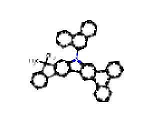 CC1(C)c2ccccc2-c2cc3c4cc5c6ccccc6c6ccccc6c5cc4n(-c4cc5ccccc5c5ccccc45)c3cc21